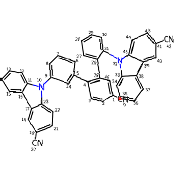 N#Cc1ccc(-c2cccc(-n3c4ccccc4c4cc(C#N)ccc43)c2)c(-c2ccccc2-n2c3ccccc3c3cc(C#N)ccc32)c1